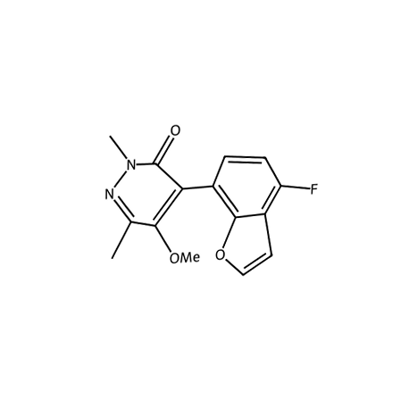 COc1c(C)nn(C)c(=O)c1-c1ccc(F)c2ccoc12